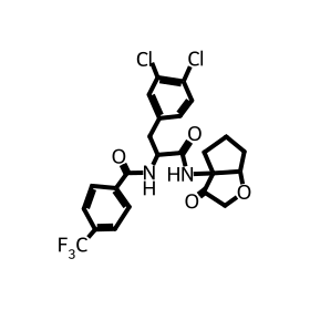 O=C(NC(Cc1ccc(Cl)c(Cl)c1)C(=O)NC12CCCC1OCC2=O)c1ccc(C(F)(F)F)cc1